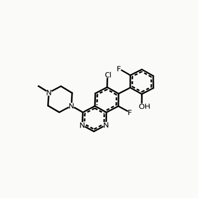 CN1CCN(c2ncnc3c(F)c(-c4c(O)cccc4F)c(Cl)cc23)CC1